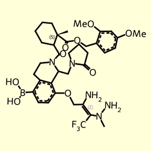 COc1ccc(COC(=O)[C@@]2(C)CCCCC2C(=O)N2CCc3c(B(O)O)ccc(OC/C(N)=C(/N(C)N)C(F)(F)F)c3C2CN2CCCC2=O)c(OC)c1